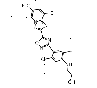 OCCNc1cc(Cl)c(-c2noc(-c3cn4cc(C(F)(F)F)cc(Cl)c4n3)n2)cc1F